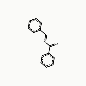 O=C(/N=C/c1ccccc1)c1ccccc1